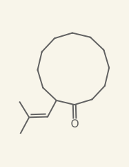 CC(C)=CC1CCCCCCCCCCC1=O